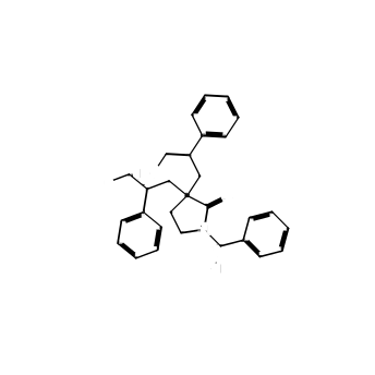 CCC(CC1(CC(CC)c2ccccc2)CCN([C@@H](C)c2ccccc2)C1=O)c1ccccc1